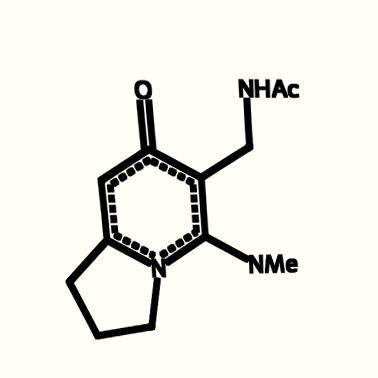 CNc1c(CNC(C)=O)c(=O)cc2n1CCC2